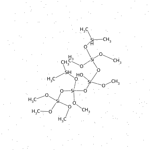 CO[Si](O)(O[Si](OC)(OC)O[SiH](C)C)O[Si](OC)(O[SiH](C)C)O[Si](OC)(OC)OC